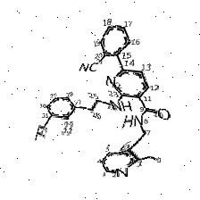 Cc1ncccc1CNC(=O)c1ccc(-c2ccccc2C#N)nc1NCCc1cccc(F)c1